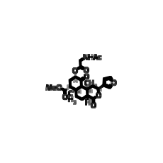 COC(=O)[C@@H]1C[C@H](OC(=O)CNC(C)=O)C(=O)C2[C@@]1(C)CC[C@H]1C(=O)O[C@H](c3ccoc3)C[C@]21C